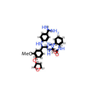 COc1cc(C(Nc2ccc(C(=N)N)cc2)c2nn(-c3ccccc3NC(=O)C(F)(F)F)c(=O)[nH]2)ccc1OC1CCOC1